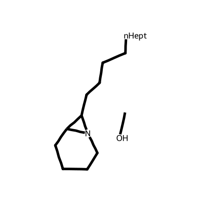 CCCCCCCCCCCC1C2CCCCN12.CO